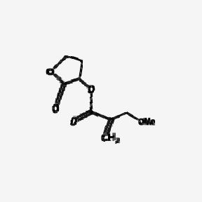 C=C(COC)C(=O)OC1CCOC1=O